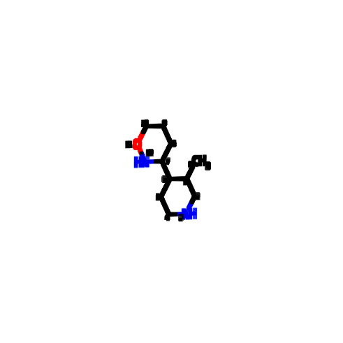 CC1CNCCC1C1CCCON1